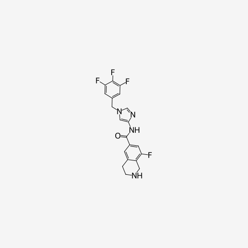 O=C(Nc1cn(Cc2cc(F)c(F)c(F)c2)cn1)c1cc(F)c2c(c1)CCNC2